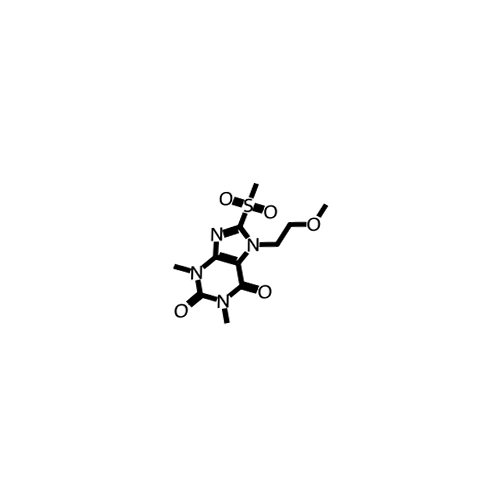 COCCn1c(S(C)(=O)=O)nc2c1c(=O)n(C)c(=O)n2C